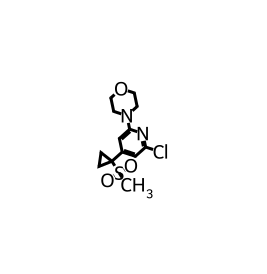 CS(=O)(=O)C1(c2cc(Cl)nc(N3CCOCC3)c2)CC1